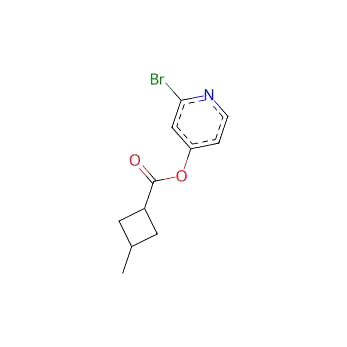 CC1CC(C(=O)Oc2ccnc(Br)c2)C1